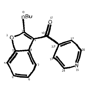 CCCCc1oc2ccccc2c1C(=O)c1ccncc1